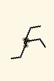 CCCCCCCC/C=C\CCCCCCCCOC(=O)c1ccc(C(=O)OCCCCCCCC/C=C\CCCCCCCC)c(C(=O)OCCCCCCCC/C=C\CCCCCCCC)c1